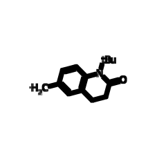 [CH2]c1ccc2c(c1)CCC(=O)N2C(C)(C)C